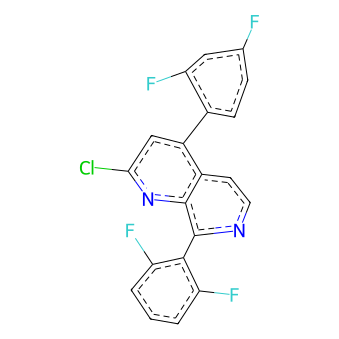 Fc1ccc(-c2cc(Cl)nc3c(-c4c(F)cccc4F)nccc23)c(F)c1